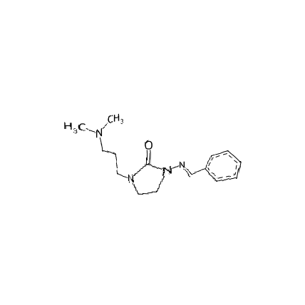 CN(C)CCCN1CCN(/N=C/c2ccccc2)C1=O